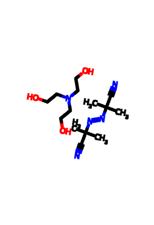 CC(C)(C#N)N=NC(C)(C)C#N.OCCN(CCO)CCO